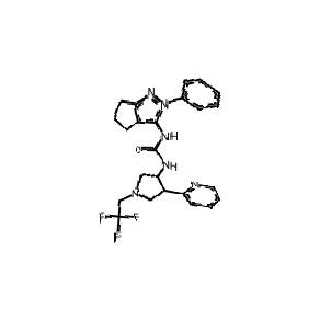 O=C(Nc1c2c(nn1-c1ccccc1)CCC2)NC1CN(CC(F)(F)F)CC1c1ccccn1